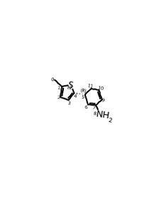 Cc1ccc([C@H]2C=C(N)C=CC2)s1